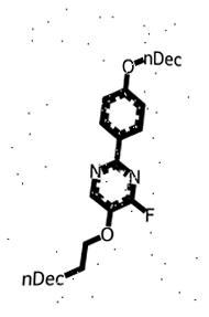 CCCCCCCCCCCCOc1cnc(-c2ccc(OCCCCCCCCCC)cc2)nc1F